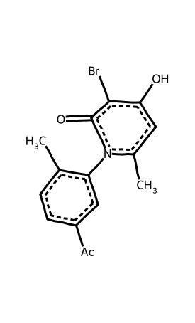 CC(=O)c1ccc(C)c(-n2c(C)cc(O)c(Br)c2=O)c1